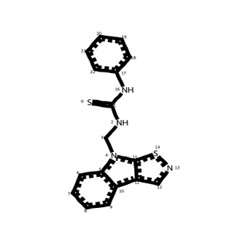 S=C(NCn1c2ccccc2c2cnsc21)Nc1ccccc1